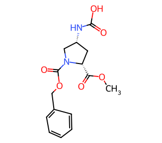 COC(=O)[C@H]1C[C@@H](NC(=O)O)CN1C(=O)OCc1ccccc1